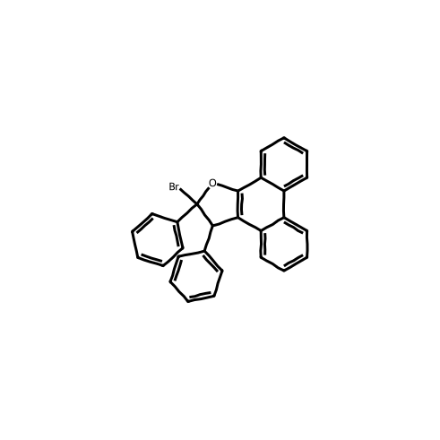 BrC1(c2ccccc2)Oc2c(c3ccccc3c3ccccc23)C1c1ccccc1